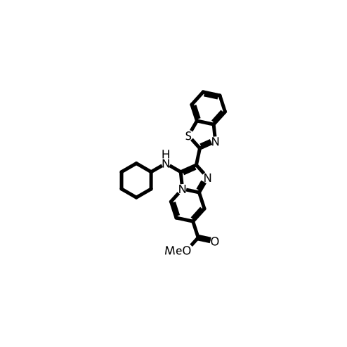 COC(=O)c1ccn2c(NC3CCCCC3)c(-c3nc4ccccc4s3)nc2c1